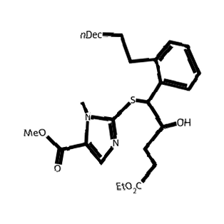 CCCCCCCCCCCCc1ccccc1C(Sc1ncc(C(=O)OC)n1C)C(O)CCC(=O)OCC